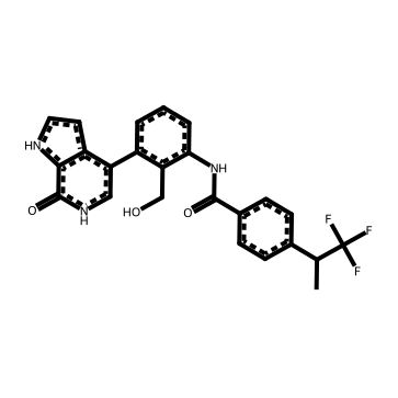 CC(c1ccc(C(=O)Nc2cccc(-c3c[nH]c(=O)c4[nH]ccc34)c2CO)cc1)C(F)(F)F